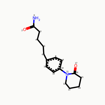 NC(=O)CCCCc1ccc(N2CCCCC2=O)cc1